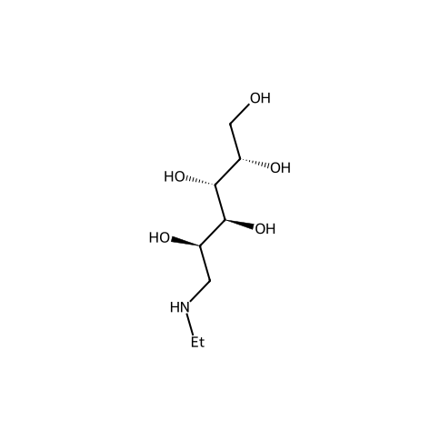 CCNC[C@@H](O)[C@H](O)[C@H](O)[C@@H](O)CO